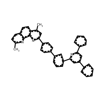 Cc1ccc2ccc3c(C)cc(-c4ccc(-c5cccc(-c6cc(-c7ccccc7)cc(-c7ccccc7)n6)c5)cc4)nc3c2n1